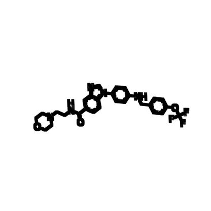 O=C(NCCN1CCOCC1)c1ccc2c(c1)ncn2-c1ccc(NCc2ccc(OC(F)(F)F)cc2)cc1